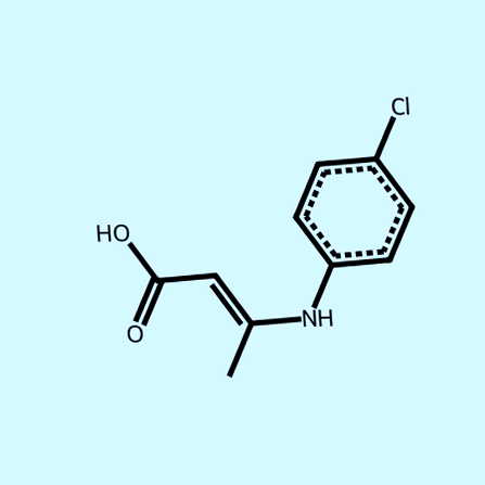 CC(=CC(=O)O)Nc1ccc(Cl)cc1